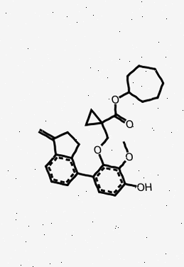 C=C1CCc2c1cccc2-c1ccc(O)c(OC)c1OCC1(C(=O)OC2CCCCCC2)CC1